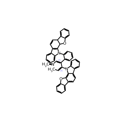 C=N/C=C(\C(=C/C)n1c2ccccc2c2ccc3c4ccccc4oc3c21)c1ccccc1-n1c2c(c3ccccc31)C=CC1c3ccccc3OC21